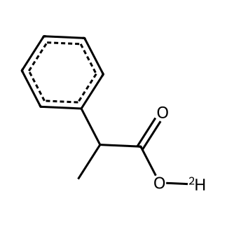 [2H]OC(=O)C(C)c1ccccc1